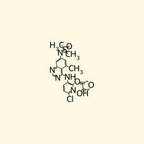 Cc1cc(N=S(C)(C)=O)cc2ncnc(Nc3ccc(Cl)nc3O[C@H]3COC[C@@H]3O)c12